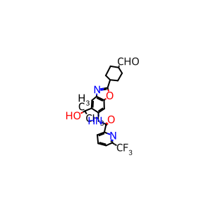 CC(C)(O)c1cc2nc(C3CCC(C=O)CC3)oc2cc1NC(=O)c1cccc(C(F)(F)F)n1